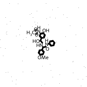 COc1ccc([C@H](NC[C@H](O)c2ccc(O)c(NS(C)(=O)=O)c2)C(=O)Nc2ccccc2)cc1